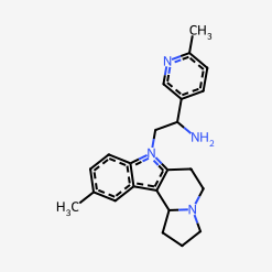 Cc1ccc2c(c1)c1c(n2CC(N)c2ccc(C)nc2)CCN2CCCC12